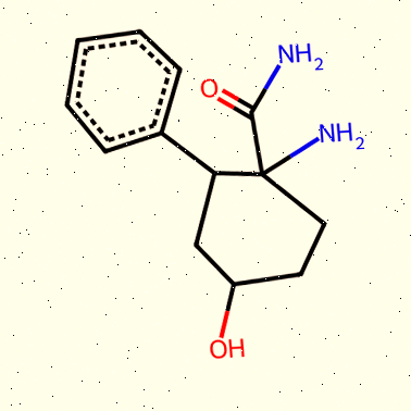 NC(=O)C1(N)CCC(O)CC1c1ccccc1